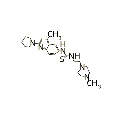 Cc1cc(N2CCCCC2)nc2ccc(NC(=S)NCCN3CCN(C)CC3)cc12